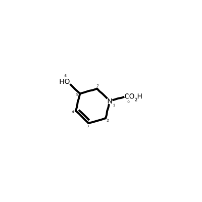 O=C(O)N1CC=CC(O)C1